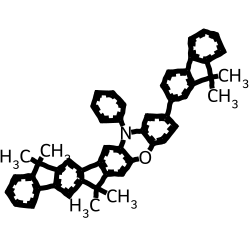 CC1(C)c2ccccc2-c2ccc(-c3ccc4c(c3)N(c3ccccc3)c3cc5c(cc3O4)C(C)(C)c3cc4c(cc3-5)C(C)(C)c3ccccc3-4)cc21